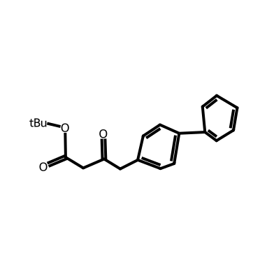 CC(C)(C)OC(=O)CC(=O)Cc1ccc(-c2ccccc2)cc1